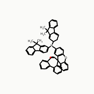 CC1(C)C2=CC(N(c3ccc4c(c3)C(C)(C)c3ccccc3-4)c3ccc4c(c3)C3(c5ccccc5O4)c4ccccc4-c4ccccc4-c4ccccc43)CC=C2c2ccccc21